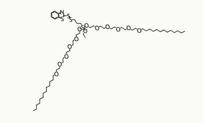 CCCCCCCCCCCCCOCCOCCOCCOCCOCCO[Si](CCCSSc1nc2ccccc2s1)(OCC)OCCOCCOCCOCCOCCOCCCCCCCCCCCCC